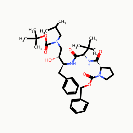 CC(C)CN(C[C@@H](O)[C@H](Cc1ccccc1)NC(=O)[C@@H](NC(=O)[C@@H]1CCCN1C(=O)OCc1ccccc1)C(C)(C)C)C(=O)OC(C)(C)C